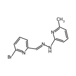 Cc1cccc(NN=Cc2cccc(Br)n2)n1